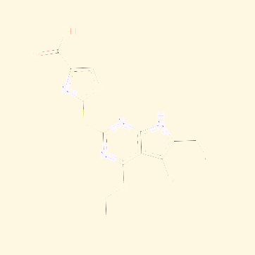 CCOc1nc(Sc2nc(C(=O)O)co2)nc2[nH]c(CC)c(Br)c12